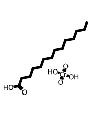 CCCCCCCCCCCCCC(=O)O.[O]=[Cr](=[O])([OH])[OH]